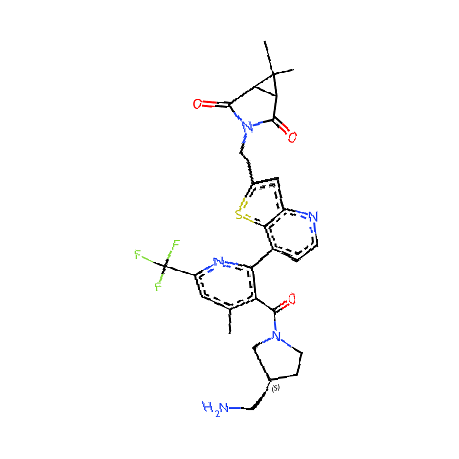 Cc1cc(C(F)(F)F)nc(-c2ccnc3cc(CN4C(=O)C5C(C4=O)C5(C)C)sc23)c1C(=O)N1CC[C@@H](CN)C1